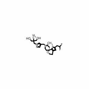 C[C@H]1C[C@@]2(CCN1Cc1cnn(CC(C)(CO)CO)c1)OCCc1cc(CC(F)F)sc12